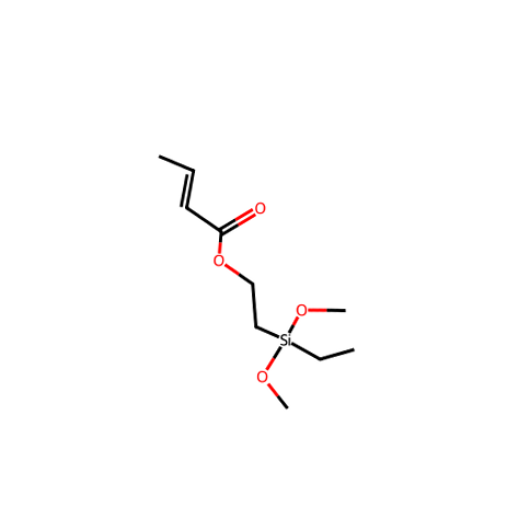 CC=CC(=O)OCC[Si](CC)(OC)OC